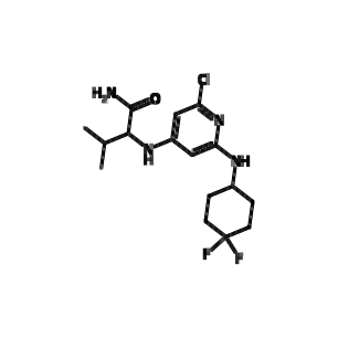 CC(C)C(Nc1cc(Cl)nc(NC2CCC(F)(F)CC2)c1)C(N)=O